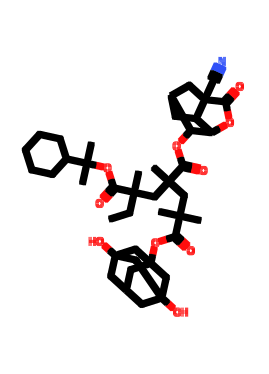 CCC(C)(CC(C)(CC(C)(C)C(=O)OC12CC3CC(O)(CC(O)(C3)C1)C2)C(=O)OC1C2CC3C1OC(=O)C3(C#N)C2)C(=O)OC(C)(C)C1CCCCC1